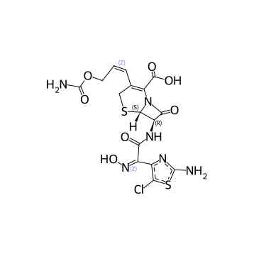 NC(=O)OC/C=C\C1=C(C(=O)O)N2C(=O)[C@@H](NC(=O)/C(=N\O)c3nc(N)sc3Cl)[C@@H]2SC1